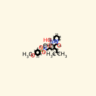 COc1ccc(S(=O)(=O)N(C)CCC[C@H](CC(C)C)[C@H](C(=O)NO)C(=O)N2CCCCC2)cc1